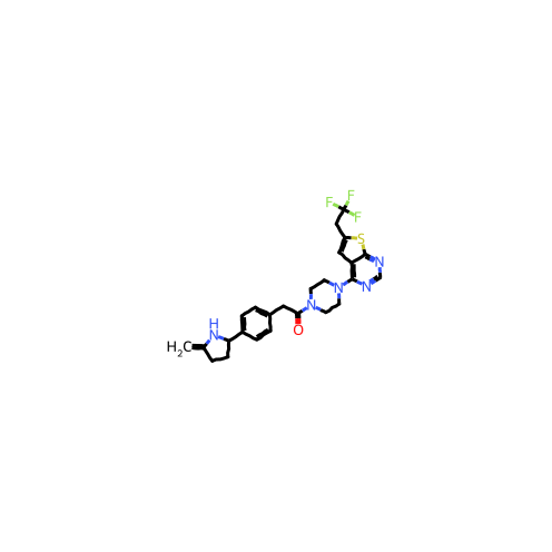 C=C1CCC(c2ccc(CC(=O)N3CCN(c4ncnc5sc(CC(F)(F)F)cc45)CC3)cc2)N1